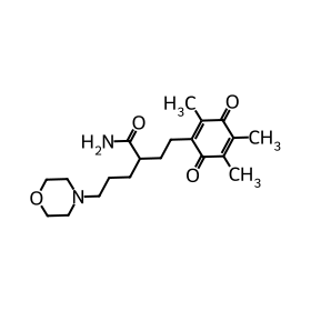 CC1=C(C)C(=O)C(CCC(CCCN2CCOCC2)C(N)=O)=C(C)C1=O